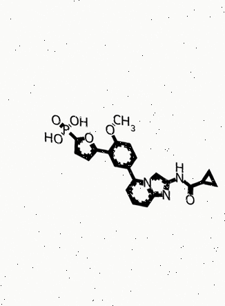 COc1ccc(-c2cccc3nc(NC(=O)C4CC4)cn23)cc1-c1ccc(P(=O)(O)O)o1